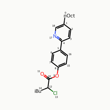 CCCCCCCCc1ccc(-c2ccc(OC(=O)C(Cl)C(C)CC)cc2)nc1